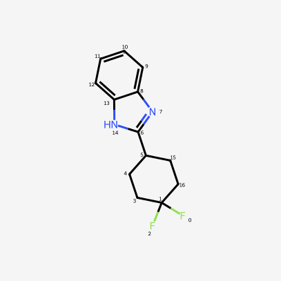 FC1(F)CCC(c2nc3c[c]ccc3[nH]2)CC1